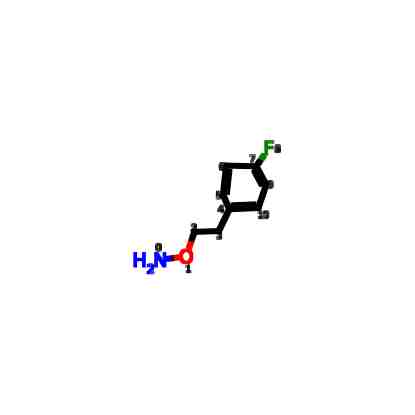 NOCCc1ccc(F)cc1